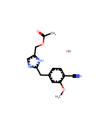 Br.COc1cc(Cc2ncc(COC(C)=O)[nH]2)ccc1C#N